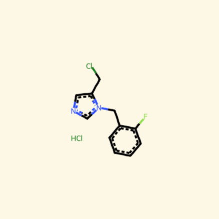 Cl.Fc1ccccc1Cn1cncc1CCl